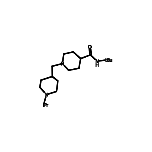 CC(C)N1CCC(CN2CCC(C(=O)NC(C)(C)C)CC2)CC1